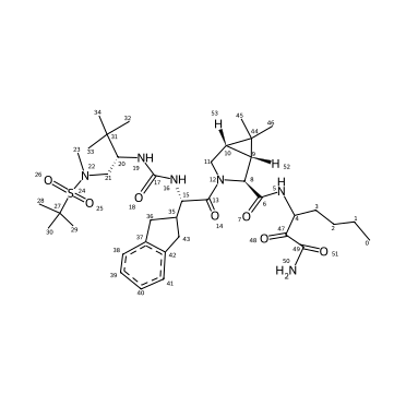 CCCCC(NC(=O)[C@@H]1[C@@H]2[C@H](CN1C(=O)[C@@H](NC(=O)N[C@H](CN(C)S(=O)(=O)C(C)(C)C)C(C)(C)C)C1Cc3ccccc3C1)C2(C)C)C(=O)C(N)=O